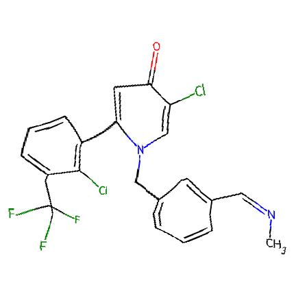 C/N=C\c1cccc(Cn2cc(Cl)c(=O)cc2-c2cccc(C(F)(F)F)c2Cl)c1